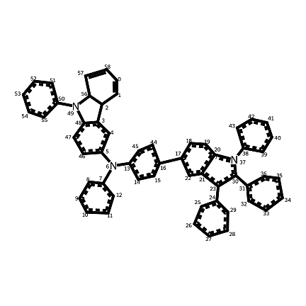 C1=CC2c3cc(N(c4ccccc4)c4ccc(-c5ccc6c(c5)c(-c5ccccc5)c(-c5ccccc5)n6-c5ccccc5)cc4)ccc3N(c3ccccc3)C2C=C1